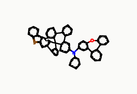 c1ccc(N(c2ccc3c(c2)-c2ccccc2-c2ccccc2O3)c2ccc3c(c2)-c2ccccc2-c2ccccc2C32c3ccccc3-c3cc4sc5ccccc5c4cc32)cc1